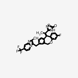 C/C(=C1\c2ccc(Cc3c(C)nc4cc(C(F)(F)F)ccn34)cc2COc2cc(F)ccc21)c1noc(=O)[nH]1